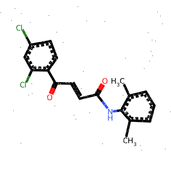 Cc1cccc(C)c1NC(=O)C=CC(=O)c1ccc(Cl)cc1Cl